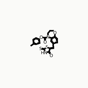 Cc1ccc(OC(=O)N2CCCOc3ccc(C=C4SC(=S)NC4=O)cc32)cc1